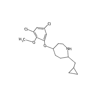 COc1c(Cl)cc(Cl)cc1OC1CCNC(CC2CC2)CC1